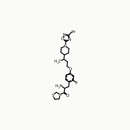 CC(C)c1noc(N2CCC(C(C)CCOc3ccc(CC(N)C(=O)N4CCSC4)c(F)c3)CC2)n1